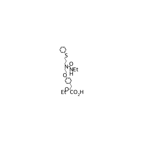 CCNC(=O)N(CCCSc1ccccc1)CCOc1ccc(CC(OCC)C(=O)O)cc1